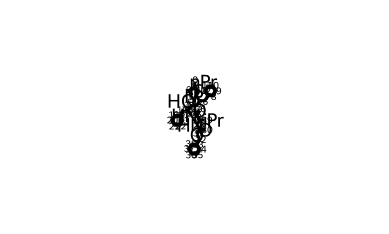 CCCc1cnc(C(Cc2ccccc2)C[C@H](O)[C@H](Cc2ccccc2)NC(=O)C(NC(=O)OCc2ccccc2)C(C)C)s1